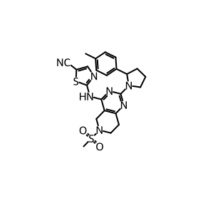 Cc1ccc(C2CCCN2c2nc3c(c(Nc4ncc(C#N)s4)n2)CN(S(C)(=O)=O)CC3)cc1